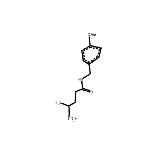 COc1ccc(CNC(=O)CCC(N)C(=O)O)cc1